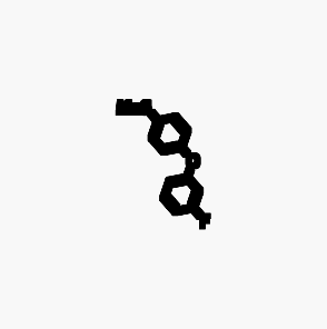 CSc1ccc(Oc2cccc(F)c2)cc1